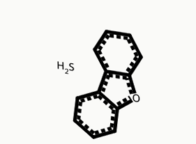 S.c1ccc2c(c1)oc1ccccc12